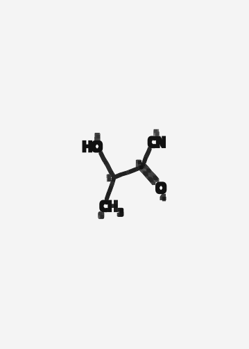 CC(O)C(=O)C#N